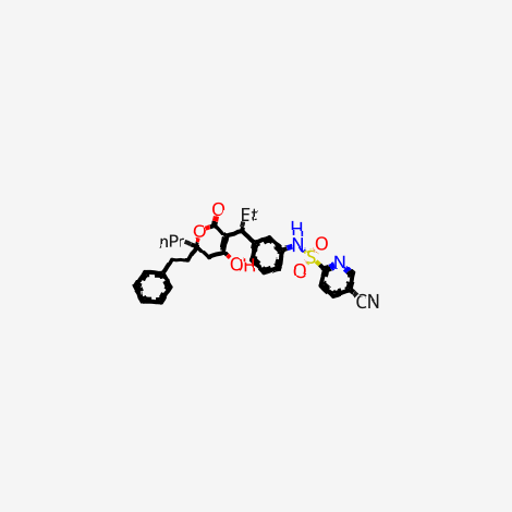 CCCC1(CCc2ccccc2)CC(O)=C(C(CC)c2cccc(NS(=O)(=O)c3ccc(C#N)cn3)c2)C(=O)O1